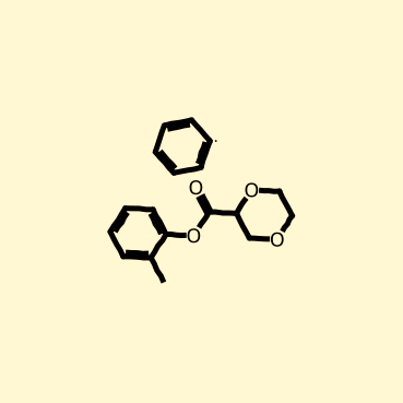 Cc1ccccc1OC(=O)C1COCCO1.[c]1ccccc1